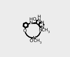 CN1CCCN(C)c2ncnc3c2/C(=C/Nc2cccc(c2)OCCCC1=O)C(=O)N3